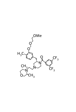 COCCOCOc1cc(C[C@@H]2CN(CCN3[C@@H](C)COC[C@@H]3C)CCN2C(=O)c2cc(C(F)(F)F)cc(C(F)(F)F)c2)ccc1C